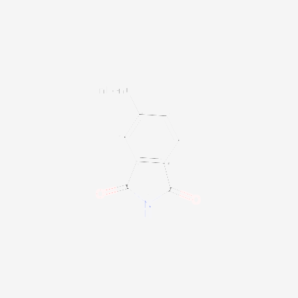 CCCCCc1ccc2c(c1)C(=O)NC2=O